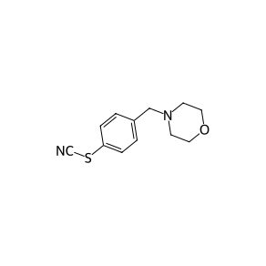 N#CSc1ccc(CN2CCOCC2)cc1